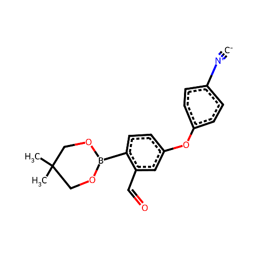 [C-]#[N+]c1ccc(Oc2ccc(B3OCC(C)(C)CO3)c(C=O)c2)cc1